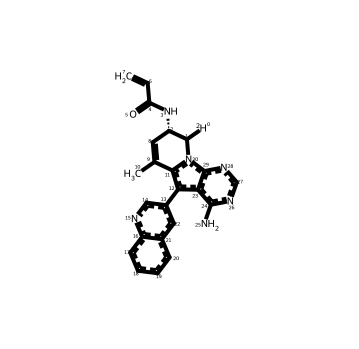 [2H]C1[C@@H](NC(=O)C=C)C=C(C)c2c(-c3cnc4ccccc4c3)c3c(N)ncnc3n21